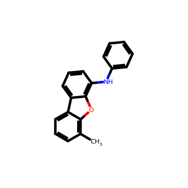 Cc1cccc2c1oc1c(Nc3ccccc3)cccc12